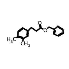 Cc1ccc(CCC(=O)OCc2ccccc2)cc1C